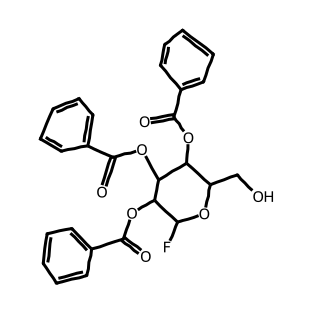 O=C(OC1C(F)OC(CO)C(OC(=O)c2ccccc2)C1OC(=O)c1ccccc1)c1ccccc1